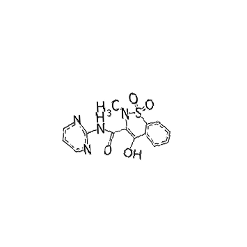 CN1C(C(=O)Nc2ncccn2)=C(O)c2ccccc2S1(=O)=O